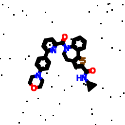 O=C(NC1CC1)c1cc2c(s1)-c1ccccc1N(C(=O)c1cccc(-c3ccc(N4CCOCC4)cc3)n1)CC2